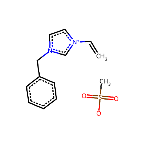 C=C[n+]1ccn(Cc2ccccc2)c1.CS(=O)(=O)[O-]